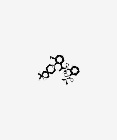 CC(c1cccc(F)c1N1CCC2(CC1)COC(C)(C)C2)S(=O)(=O)c1ccccc1S(=O)(=O)N(C)C